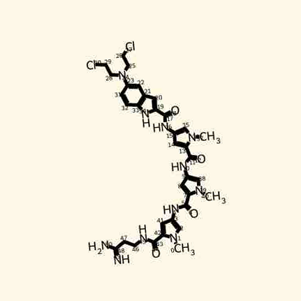 Cn1cc(NC(=O)c2cc(NC(=O)c3cc(NC(=O)c4cc5cc(N(CCCl)CCCl)ccc5[nH]4)cn3C)cn2C)cc1C(=O)NCCC(=N)N